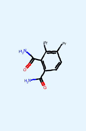 CC(C)c1ccc(C(N)=O)c(C(N)=O)c1C(C)C